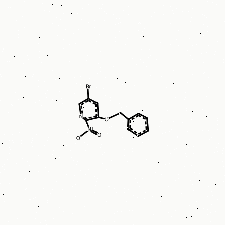 O=[N+]([O-])c1ncc(Br)cc1OCc1ccccc1